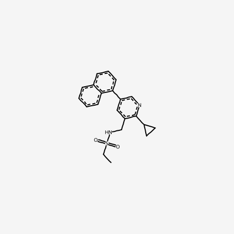 CCS(=O)(=O)NCc1cc(-c2cccc3ccccc23)cnc1C1CC1